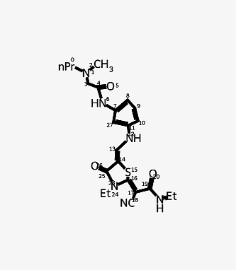 CCCN(C)CC(=O)Nc1cccc(NC=c2sc(=C(C#N)C(=O)NCC)n(CC)c2=O)c1